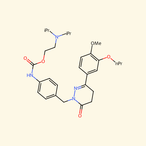 CCCOc1cc(C2=NN(Cc3ccc(NC(=O)OCCN(C(C)C)C(C)C)cc3)C(=O)CC2)ccc1OC